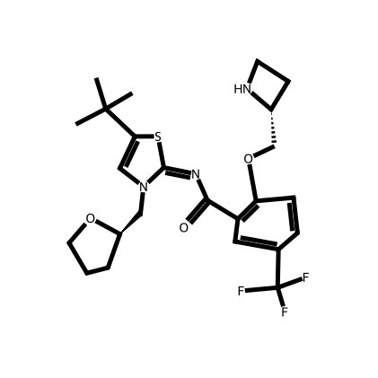 CC(C)(C)c1cn(C[C@H]2CCCO2)c(=NC(=O)c2cc(C(F)(F)F)ccc2OC[C@H]2CCN2)s1